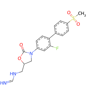 CS(=O)(=O)c1ccc(-c2ccc(N3CC(CNC=N)OC3=O)cc2F)cc1